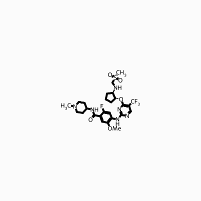 COc1cc(C(=O)NC2CCN(C)CC2)c(F)cc1Nc1ncc(C(F)(F)F)c(O[C@@H]2CCC[C@H]2NCS(C)(=O)=O)n1